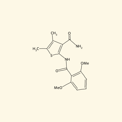 COc1cccc(OC)c1C(=O)Nc1sc(C)c(C)c1C(N)=O